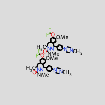 CNC(=O)N1N=C(c2ccc(N3CCN(C)CC3)cc2)c2cc(OC)c(OC(F)F)cc2CC1C.CNC(=O)N1N=C(c2ccc(N3CCN(C)CC3)cc2)c2cc(OC)c(OC(F)F)cc2C[C@H]1C